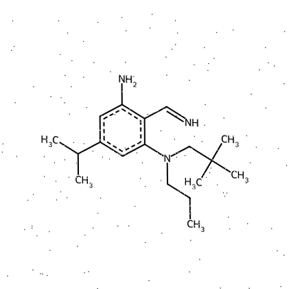 CCCN(CC(C)(C)C)c1cc(C(C)C)cc(N)c1C=N